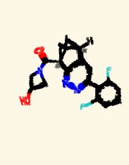 CC1(C)[C@@H]2CC[C@@]1(C(=O)N1CC(O)C1)c1nnc(-c3c(F)cccc3F)cc12